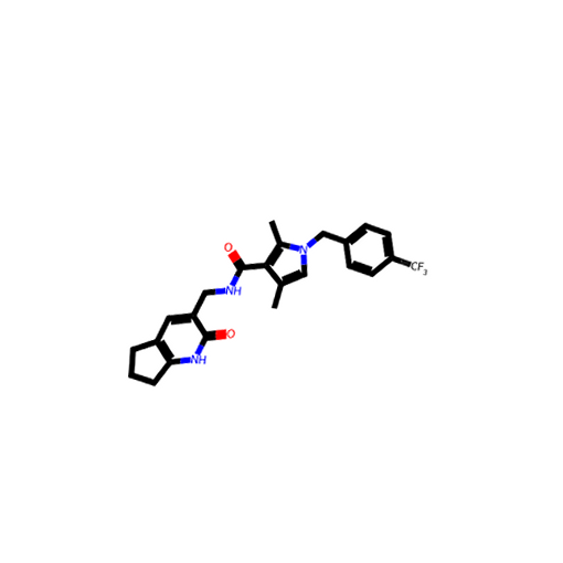 Cc1cn(Cc2ccc(C(F)(F)F)cc2)c(C)c1C(=O)NCc1cc2c([nH]c1=O)CCC2